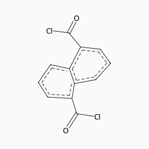 O=C(Cl)c1cccc2c(C(=O)Cl)cccc12